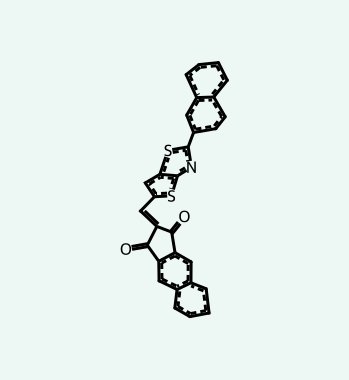 O=C1C(=Cc2cc3sc(-c4ccc5ccccc5c4)nc3s2)C(=O)c2cc3ccccc3cc21